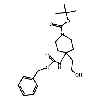 CC(C)(C)OC(=O)N1CCC(CCO)(NC(=O)OCc2ccccc2)CC1